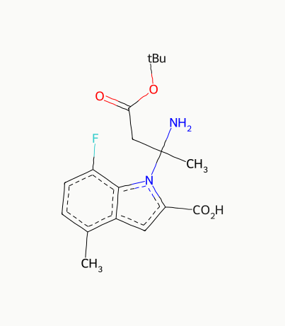 Cc1ccc(F)c2c1cc(C(=O)O)n2C(C)(N)CC(=O)OC(C)(C)C